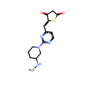 CNC1CCCN(c2nccc(/C=C3\SC(=O)CC3=O)n2)C1